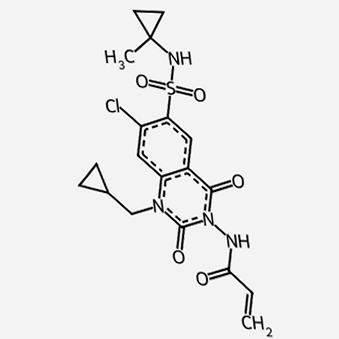 C=CC(=O)Nn1c(=O)c2cc(S(=O)(=O)NC3(C)CC3)c(Cl)cc2n(CC2CC2)c1=O